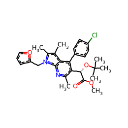 COC(=O)[C@@H](OC(C)(C)C)c1c(C)nc2c(c(C)c(C)n2Cc2ccco2)c1-c1ccc(Cl)cc1